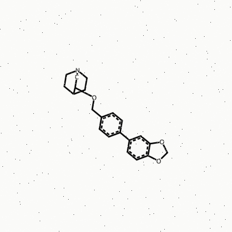 c1cc(-c2ccc3c(c2)OCO3)ccc1COC1CN2CCC1CC2